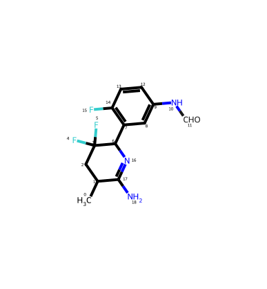 CC1CC(F)(F)C(c2cc(NC=O)ccc2F)N=C1N